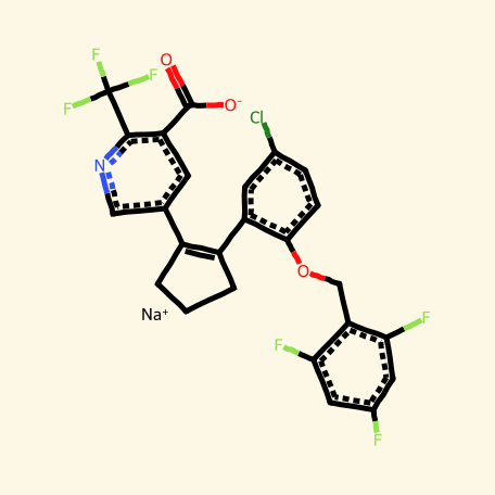 O=C([O-])c1cc(C2=C(c3cc(Cl)ccc3OCc3c(F)cc(F)cc3F)CCC2)cnc1C(F)(F)F.[Na+]